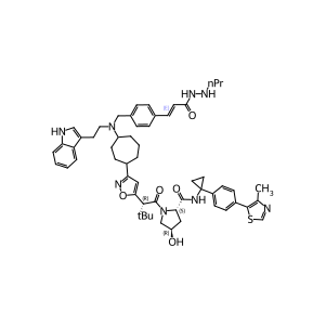 CCCNNC(=O)/C=C/c1ccc(CN(CCc2c[nH]c3ccccc23)C2CCCC(c3cc([C@H](C(=O)N4C[C@H](O)C[C@H]4C(=O)NC4(c5ccc(-c6scnc6C)cc5)CC4)C(C)(C)C)on3)CC2)cc1